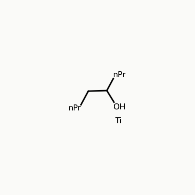 CCCCC(O)CCC.[Ti]